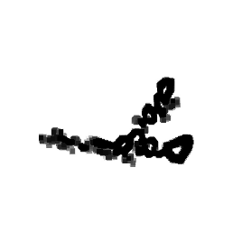 Cc1cc(CC(OC(=O)N2CCC(c3cc4ccccc4[nH]c3=O)CC2)c2ncc3n2CCN(Cc2ccccc2)C3)cc2cn(COCC[Si](C)(C)C)nc12